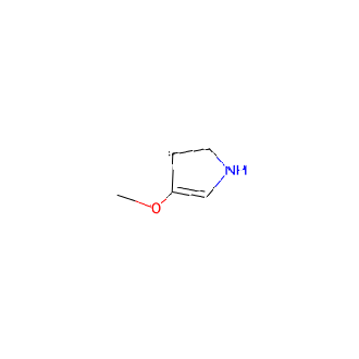 COC1=CNC[C]1